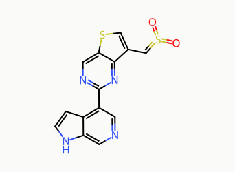 O=S(=O)=Cc1csc2cnc(-c3cncc4[nH]ccc34)nc12